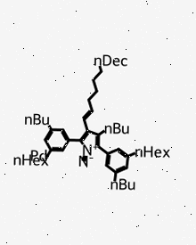 CCCCCCCCCCCCCCC=CC1=C(c2cc(CCCC)cc(CCCCCC)c2)[N+](=[N-])C(c2cc(CCCC)cc(CCCCCC)c2)=C1CCCC.[Pd]